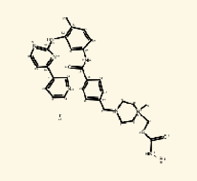 CC[C@@H](C)NC(=O)OC[N+]1(C)CCN(Cc2ccc(C(=O)Nc3ccc(C)c(Nc4nccc(-c5cccnc5)n4)c3)cc2)CC1.[I-]